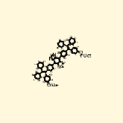 CCCCCCCCOc1ccc(C(=C(c2ccccc2)c2ccccc2)c2ccc(-c3c4c(c(-c5ccc(C(=C(c6ccccc6)c6ccccc6)c6ccc(OC)cc6)cc5)c5nsnc35)N=S=N4)cc2)cc1